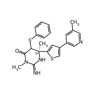 Cc1cncc(-c2csc([C@@]3(C)NC(=N)N(C)C(=O)C3Sc3ccccc3)c2)c1